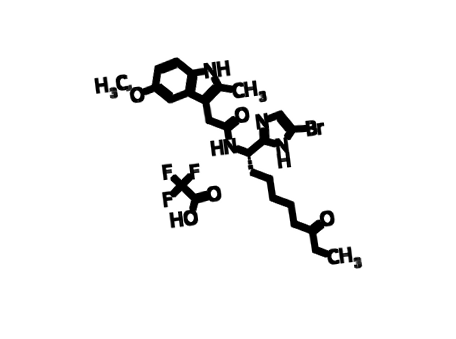 CCC(=O)CCCCC[C@H](NC(=O)Cc1c(C)[nH]c2ccc(OC)cc12)c1ncc(Br)[nH]1.O=C(O)C(F)(F)F